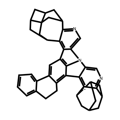 c1ccc2c(c1)CCc1c-2cc2c3c4c(ncc3n3c5cnc6c(c5c1c23)C1CC2CC(CC6C2)C1)C1CC2CC3CC4CC23C1